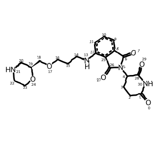 O=C1CCC(N2C(=O)c3cccc(NCCCOC[C@@H]4CNCCO4)c3C2=O)C(=O)N1